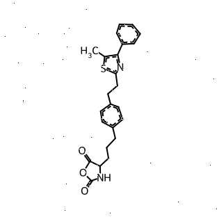 Cc1sc(CCc2ccc(CCCC3NC(=O)OC3=O)cc2)nc1-c1ccccc1